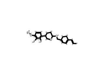 C/C=C/C1=CC=C(COC2CCC(c3ccc(OCC)c(F)c3F)CO2)CC1